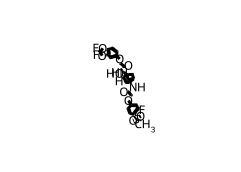 CS(=O)(=O)c1ccc(OCC(=O)NC2=C3CC(NC(=O)COc4ccc5c(c4)OC(F)(F)O5)(C3)[C@@H](O)C2)cc1F